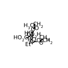 C=C(C)C(=O)OCC(O)CN(CC)CCN(CC(O)COC(=O)C(=C)C)C(CC(=O)O)C(=O)O